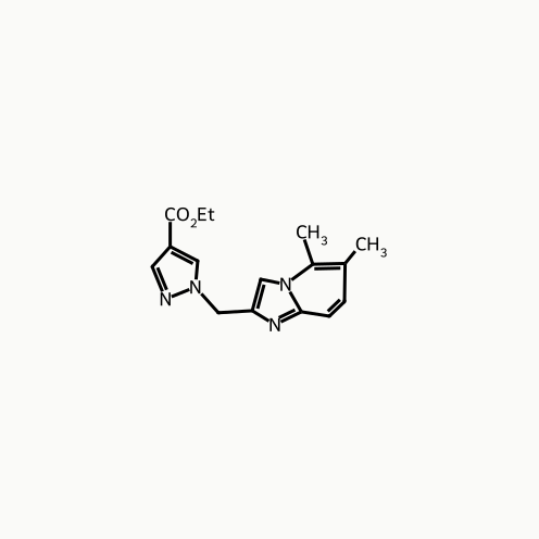 CCOC(=O)c1cnn(Cc2cn3c(C)c(C)ccc3n2)c1